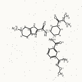 CO/N=C(\N)c1cccc(C(=O)N[C@H]2CCC(C(=O)N(C)C)C[C@H]2NC(=O)c2nc3c(s2)CN(C)CC3)c1